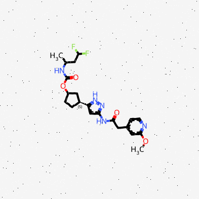 COc1cc(CC(=O)Nc2cc([C@H]3CCC(OC(=O)NC(C)CC(F)F)C3)[nH]n2)ccn1